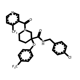 O=C(c1cnccc1C(F)(F)F)N1CCCC(Oc2ccc(C(F)(F)F)cc2)(C(=O)NCc2ccc(Cl)cc2)C1